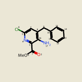 COC(=O)c1nc(Cl)cc(Cc2ccccc2)c1N